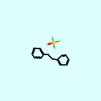 O=P(Cl)(Cl)Cl.c1ccc(CCc2ccccc2)cc1